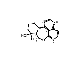 CC1(O)CCCN2c3ncnc4ccnc(c34)OCC21